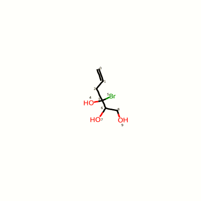 C=CCC(O)(Br)C(O)CO